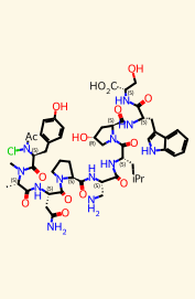 CC(=O)N(Cl)[C@@H](Cc1ccc(O)cc1)C(=O)N(C)[C@@H](C)C(=O)N[C@@H](CC(N)=O)C(=O)N1CCC[C@H]1C(=O)N[C@@H](CN)C(=O)N[C@@H](CC(C)C)C(=O)N1C[C@H](O)C[C@H]1C(=O)N[C@@H](Cc1c[nH]c2ccccc12)C(=O)N[C@@H](CO)C(=O)O